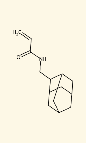 C=CC(=O)NCC1C2CC3CC(C2)CC1C3